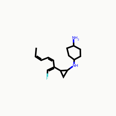 C\C=C/C=C\C(=C\F)C1CC1NC1CCC(N)CC1